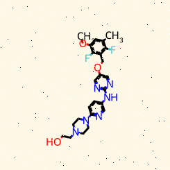 COc1cc(C)c(F)c(COc2cnc(Nc3ccc(N4CCN(CCO)CC4)nc3)nc2)c1F